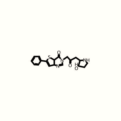 O=C(CC1NCCC1O)CN1C=NC2C=C(c3ccccc3)SC2C1=O